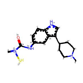 CN1CCC(c2c[nH]c3ccc(NC(=O)N(C)S)cc23)CC1